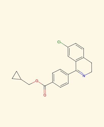 O=C(OCC1CC1)c1ccc(C2=NCCc3ccc(Cl)cc32)cc1